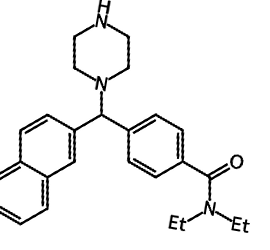 CCN(CC)C(=O)c1ccc(C(c2ccc3ccccc3c2)N2CCNCC2)cc1